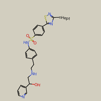 CCCCCCCc1nsc(-c2ccc(S(=O)(=O)Nc3ccc(CCNCC(O)c4cccnc4)cc3)cc2)n1